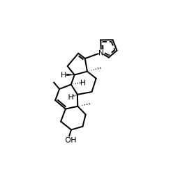 CC1C=C2CC(O)CC[C@]2(C)[C@@H]2CC[C@]3(C)C(n4cccc4)=CC[C@H]3[C@H]12